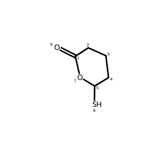 O=C1CCCC(S)O1